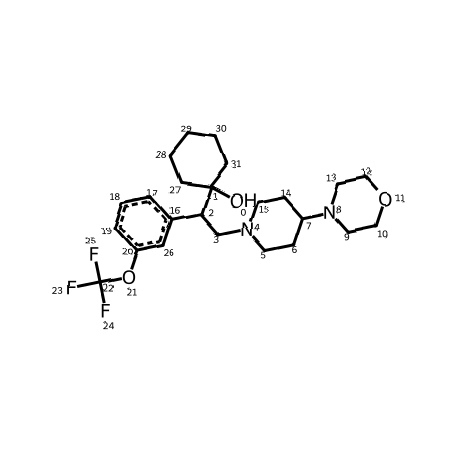 OC1(C(CN2CCC(N3CCOCC3)CC2)c2cccc(OC(F)(F)F)c2)CCCCC1